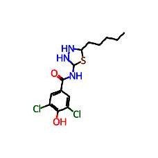 CCCCCC1NNC(NC(=O)c2cc(Cl)c(O)c(Cl)c2)S1